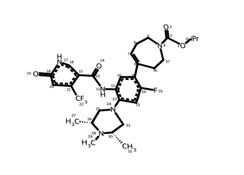 CC(C)OC(=O)N1CCC=C(c2cc(NC(=O)c3c[nH]c(=O)cc3C(F)(F)F)c(N3C[C@@H](C)N(C)[C@@H](C)C3)cc2F)CC1